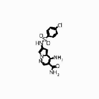 NC(=O)c1cnn2cc(NS(=O)(=O)c3ccc(Cl)cc3)cc2c1N